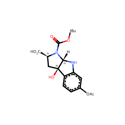 CC(=O)Oc1ccc2c(c1)N[C@H]1N(C(=O)OC(C)(C)C)[C@H](C(=O)O)C[C@@]21O